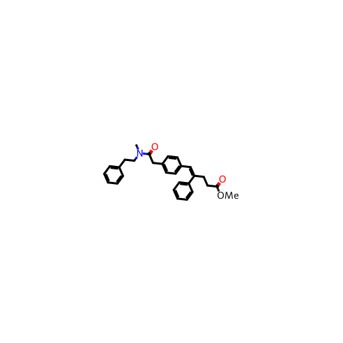 COC(=O)CCC(=Cc1ccc(CC(=O)N(C)CCc2ccccc2)cc1)c1ccccc1